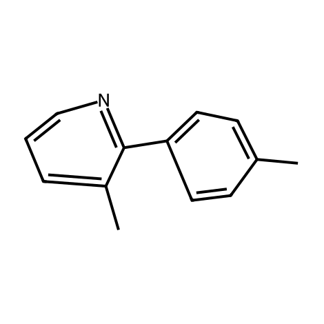 Cc1ccc(-c2ncccc2C)cc1